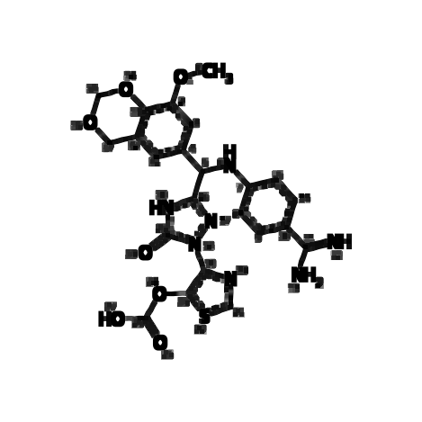 COc1cc(C(Nc2ccc(C(=N)N)cc2)c2nn(-c3ncsc3OC(=O)O)c(=O)[nH]2)cc2c1OCOC2